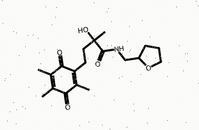 CC1=C(C)C(=O)C(CCC(C)(O)C(=O)NCC2CCCO2)=C(C)C1=O